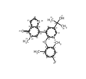 Cc1cc(F)cc(C)c1Oc1ncc(C(C)(C)O)cc1-c1cn(C)c(=O)c2ccsc12